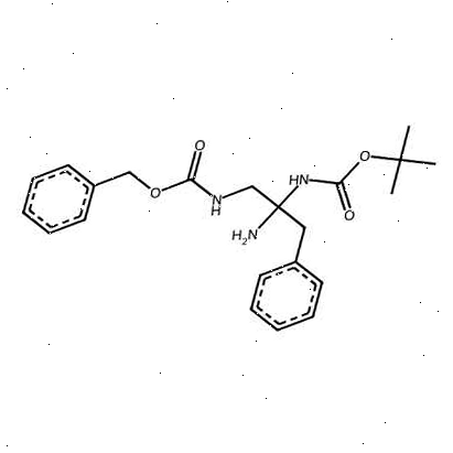 CC(C)(C)OC(=O)NC(N)(CNC(=O)OCc1ccccc1)Cc1ccccc1